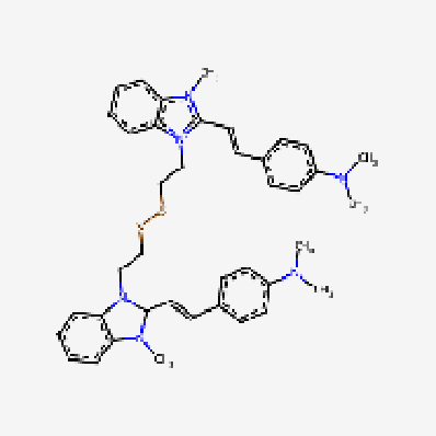 CN(C)c1ccc(/C=C/c2n(C)c3ccccc3[n+]2CCSSCCN2c3ccccc3N(C)C2/C=C/c2ccc(N(C)C)cc2)cc1